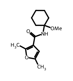 COC1(NC(=O)c2cc(C)oc2C)CCCCC1